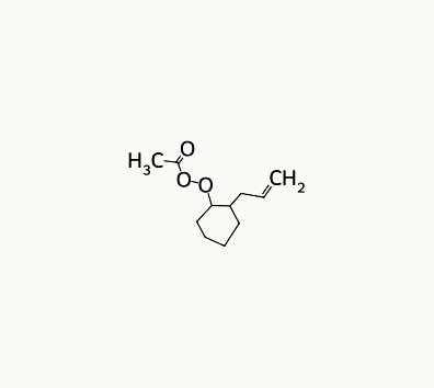 C=CCC1CCCCC1OOC(C)=O